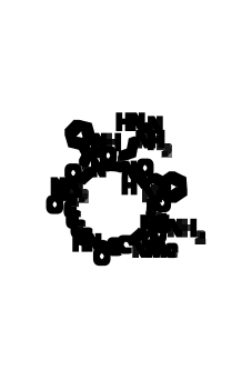 CN[C@H]1CCC(=O)NCCCC[C@@H](C(N)=O)NC(=O)[C@H](Cc2c[nH]c3ccccc23)NC(=O)[C@H](CCCNC(=N)N)NC(=O)[C@@H](Cc2ccccc2)NC(=O)[C@H](CC(N)=O)NC1=O